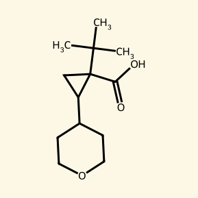 CC(C)(C)C1(C(=O)O)CC1C1CCOCC1